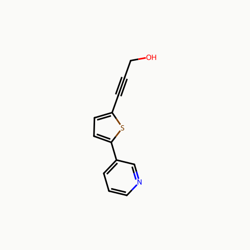 OCC#Cc1ccc(-c2cccnc2)s1